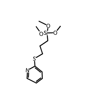 CO[Si](CCCSc1ccccn1)(OC)OC